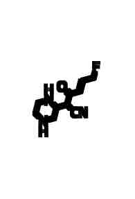 N#CC(C(=O)C=CCF)C1CNCCN1